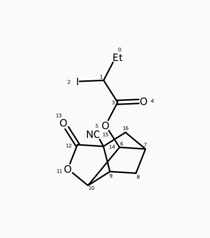 CCC(I)C(=O)OC1C2CC3C1OC(=O)C3(C#N)C2